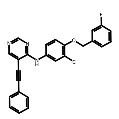 Fc1cccc(COc2ccc(Nc3ncncc3C#Cc3ccccc3)cc2Cl)c1